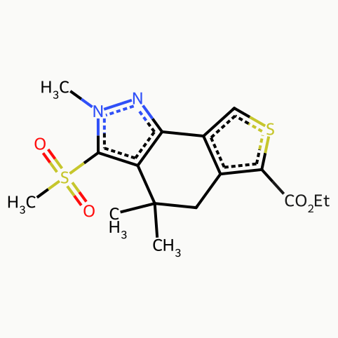 CCOC(=O)c1scc2c1CC(C)(C)c1c-2nn(C)c1S(C)(=O)=O